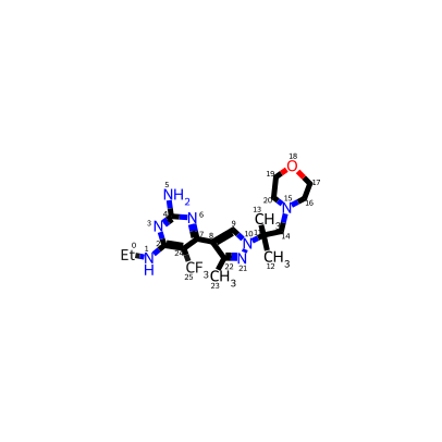 CCNc1nc(N)nc(-c2cn(C(C)(C)CN3CCOCC3)nc2C)c1C(F)(F)F